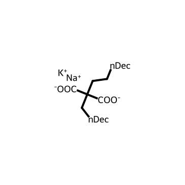 CCCCCCCCCCCCC(CCCCCCCCCCC)(C(=O)[O-])C(=O)[O-].[K+].[Na+]